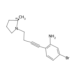 C[C@@H]1CCCN1CCC#Cc1ccc(Br)cc1N